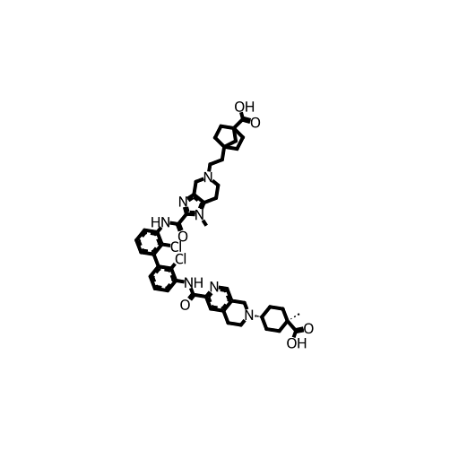 Cn1c(C(=O)Nc2cccc(-c3cccc(NC(=O)c4cc5c(cn4)CN([C@H]4CC[C@](C)(C(=O)O)CC4)CC5)c3Cl)c2Cl)nc2c1CCN(CCC13CCC(C(=O)O)(CC1)C3)C2